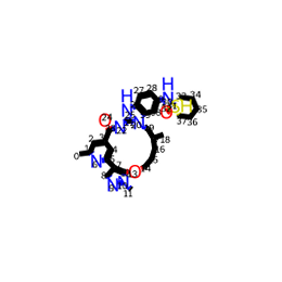 Cc1cc2cc(n1)-c1cnn(C)c1OCCCC(C)CN1/C(=N/C2=O)Nc2ccc(N[SH]3(=O)CCCCC3)cc21